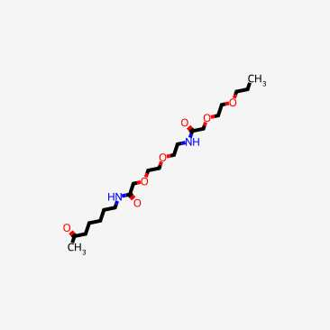 CCCOCCOCC(=O)NCCOCCOCC(=O)NCCCCCC(C)=O